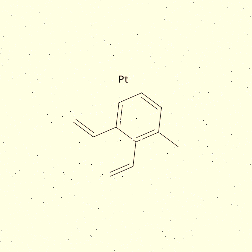 C=Cc1cccc(C)c1C=C.[Pt]